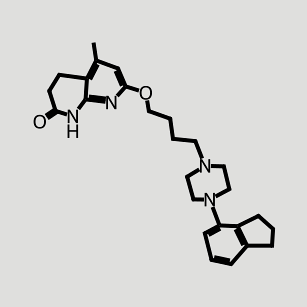 Cc1cc(OCCCCN2CCN(c3cccc4c3CCC4)CC2)nc2c1CCC(=O)N2